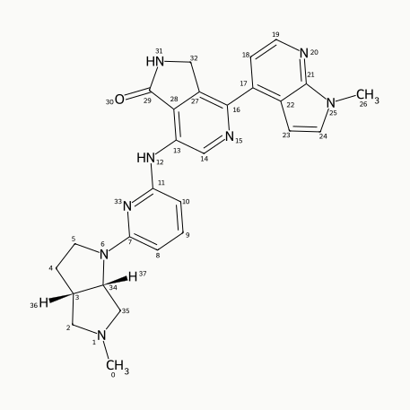 CN1C[C@@H]2CCN(c3cccc(Nc4cnc(-c5ccnc6c5ccn6C)c5c4C(=O)NC5)n3)[C@@H]2C1